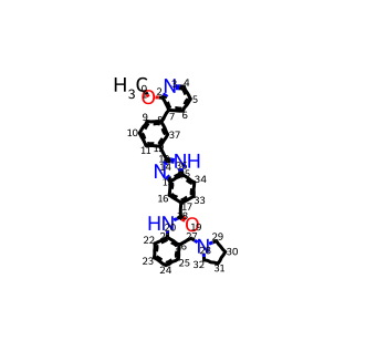 COc1ncccc1-c1cccc(-c2nc3cc(C(=O)Nc4ccccc4CN4CCCC4)ccc3[nH]2)c1